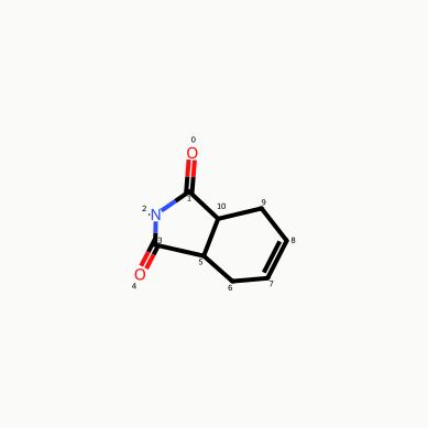 O=C1[N]C(=O)C2CC=CCC12